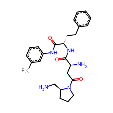 NC[C@@H]1CCCN1C(=O)C[C@H](N)C(=O)N[C@@H](CCc1ccccc1)C(=O)Nc1cccc(C(F)(F)F)c1